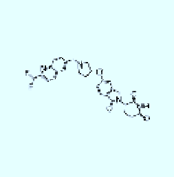 O=C1CCC(N2Cc3cc(OC4CCN(Cc5ccc6nc(C(F)F)ccc6c5)C4)ccc3C2=O)C(=O)N1